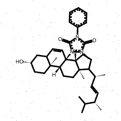 CC(C)[C@@H](C)/C=C/[C@@H](C)C1CC[C@H]2[C@@]3(n4c(=O)n(-c5ccccc5)c(=O)n4C)C=CC4C[C@@H](O)CC[C@]4(C)[C@H]3CC[C@]12C